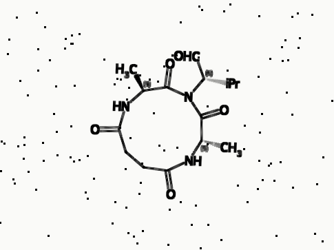 CC(C)[C@@H]([C]=O)N1C(=O)[C@H](C)NC(=O)CCC(=O)N[C@@H](C)C1=O